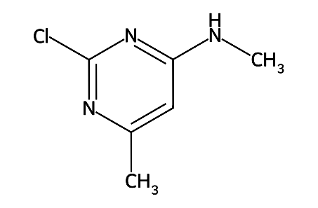 CNc1cc(C)nc(Cl)n1